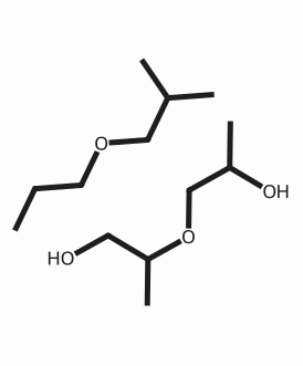 CC(O)COC(C)CO.CCCOCC(C)C